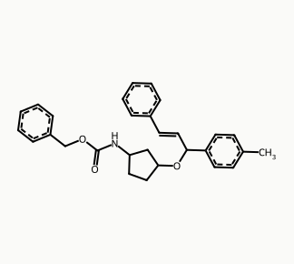 Cc1ccc(C(C=Cc2ccccc2)OC2CCC(NC(=O)OCc3ccccc3)C2)cc1